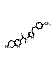 O=C(Nc1cn(Cc2ccc(C(F)(F)F)cc2)cn1)c1cnc2c(c1)CCNC2